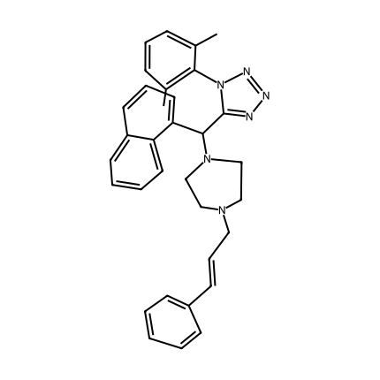 Cc1cccc(C)c1-n1nnnc1C(c1cccc2ccccc12)N1CCN(C/C=C/c2ccccc2)CC1